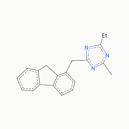 CCc1nc(C)nc(Cc2cccc3c2Cc2ccccc2-3)n1